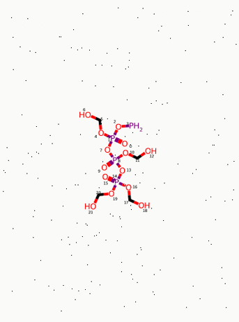 O=P(OP)(OCO)OP(=O)(OCO)OP(=O)(OCO)OCO